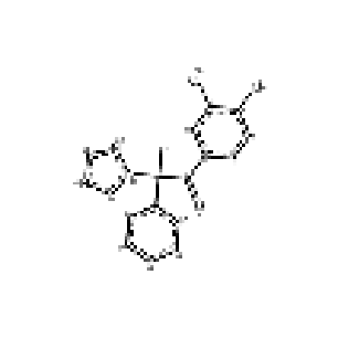 CC(C(=O)c1ccc(Cl)c(Cl)c1)(c1ccccc1)n1cncn1